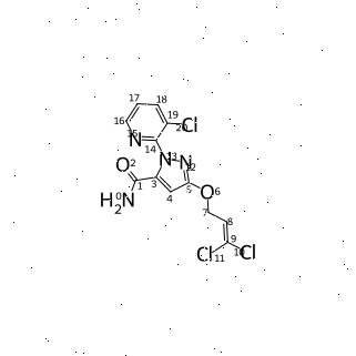 NC(=O)c1cc(OCC=C(Cl)Cl)nn1-c1ncccc1Cl